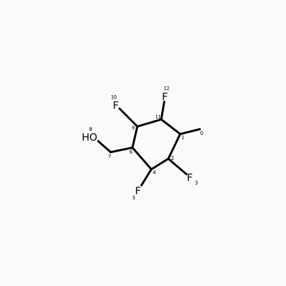 CC1C(F)C(F)C(CO)C(F)C1F